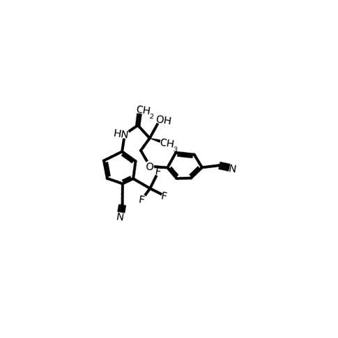 C=C(Nc1ccc(C#N)c(C(F)(F)F)c1)[C@](C)(O)COc1ccc(C#N)cc1